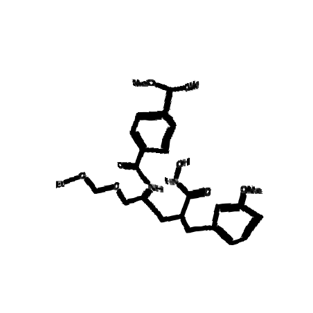 CCOCOCC(CC(Cc1cccc(OC)c1)C(=O)NO)NC(=O)c1ccc(C(OC)OC)cc1